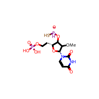 COC1C(O[PH](=O)S)[C@@H](CCOP(=O)(O)O)O[C@H]1n1ccc(=O)[nH]c1=O